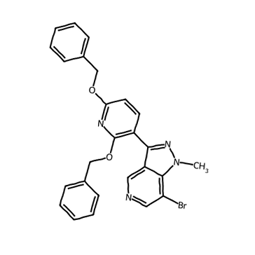 Cn1nc(-c2ccc(OCc3ccccc3)nc2OCc2ccccc2)c2cncc(Br)c21